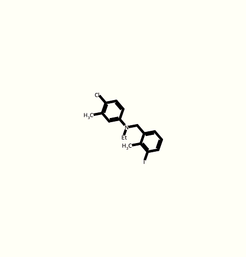 CCN(Cc1cccc(I)c1C)c1ccc(Cl)c(C)c1